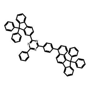 c1ccc(-c2nc(-c3ccc(-c4cccc5c6c(ccc45)-c4ccccc4C6(c4ccccc4)c4ccccc4)cc3)nc(-c3ccc4c(c3)C(c3ccccc3)(c3ccccc3)c3ccccc3-4)n2)cc1